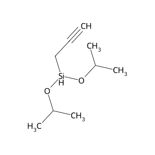 C#CC[SiH](OC(C)C)OC(C)C